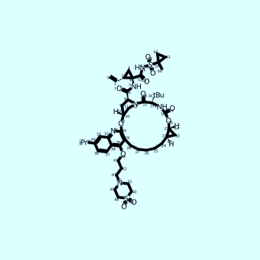 C=C[C@@H]1C[C@]1(NC(=O)[C@@H]1C[C@@H]2CN1C(=O)[C@H](C(C)(C)C)NC(=O)O[C@@H]1C[C@H]1CCCCCc1c(nc3cc(C(C)C)ccc3c1OCCCN1CCS(=O)(=O)CC1)O2)C(=O)NS(=O)(=O)C1(C)CC1